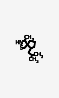 C=C1NSCC12CCCC2CC(C)C